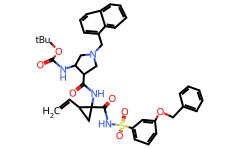 C=CC1CC1(NC(=O)C1CN(Cc2cccc3ccccc23)CC1NC(=O)OC(C)(C)C)C(=O)NS(=O)(=O)c1cccc(OCc2ccccc2)c1